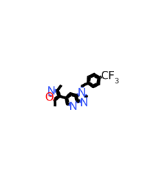 Cc1noc(C)c1-c1cnc2ncn(Cc3ccc(C(F)(F)F)cc3)c2c1